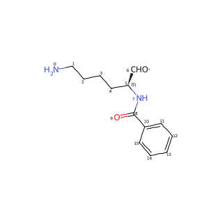 NCCCC[C@@H]([C]=O)NC(=O)c1ccccc1